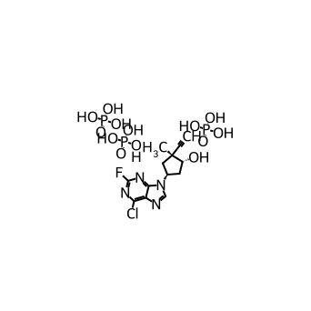 C#C[C@@]1(C)C[C@H](n2cnc3c(Cl)nc(F)nc32)C[C@H]1O.O=P(O)(O)O.O=P(O)(O)O.O=P(O)(O)O